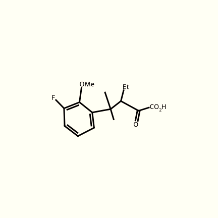 CCC(C(=O)C(=O)O)C(C)(C)c1cccc(F)c1OC